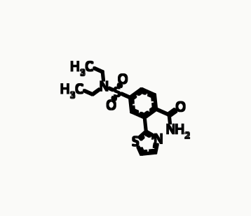 CCN(CC)S(=O)(=O)c1ccc(C(N)=O)c(-c2nccs2)c1